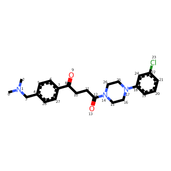 CN(C)Cc1ccc(C(=O)CCC(=O)N2CCN(c3cccc(Cl)c3)CC2)cc1